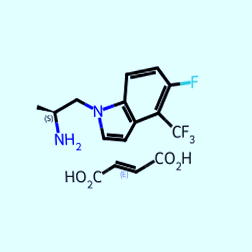 C[C@H](N)Cn1ccc2c(C(F)(F)F)c(F)ccc21.O=C(O)/C=C/C(=O)O